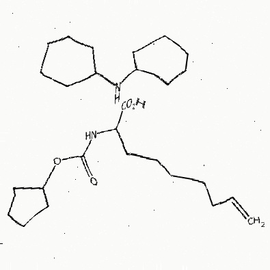 C1CCC(NC2CCCCC2)CC1.C=CCCCCCC(NC(=O)OC1CCCC1)C(=O)O